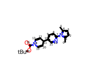 Cc1ccc(C)n1-c1ccc(C2C=CN(C(=O)OC(C)(C)C)C=C2)cn1